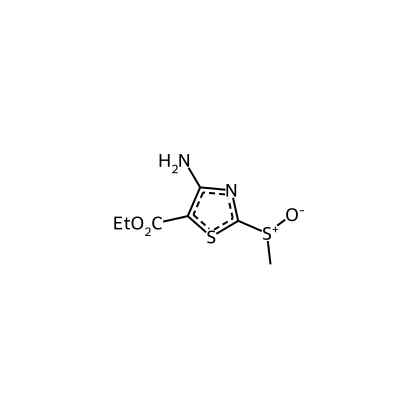 CCOC(=O)c1sc([S+](C)[O-])nc1N